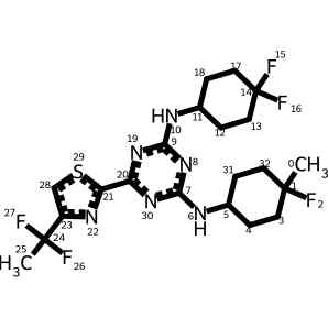 CC1(F)CCC(Nc2nc(NC3CCC(F)(F)CC3)nc(-c3nc(C(C)(F)F)cs3)n2)CC1